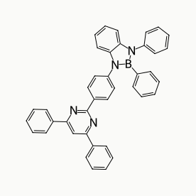 c1ccc(B2N(c3ccccc3)c3ccccc3N2c2ccc(-c3nc(-c4ccccc4)cc(-c4ccccc4)n3)cc2)cc1